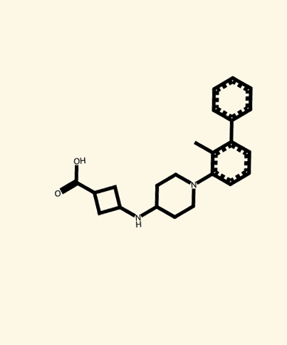 Cc1c(-c2ccccc2)cccc1N1CCC(NC2CC(C(=O)O)C2)CC1